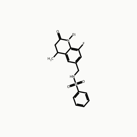 CCN1C(=O)CC(C)c2cc(CNS(=O)(=O)c3ccccc3)cc(F)c21